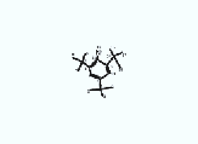 CC(C)(C)c1cc(C(C)(C)C)c([N])c(C(C)(C)C)c1